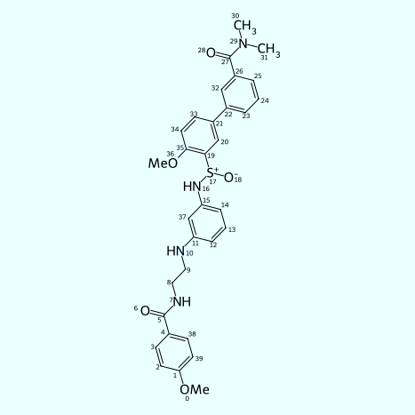 COc1ccc(C(=O)NCCNc2cccc(N[S+]([O-])c3cc(-c4cccc(C(=O)N(C)C)c4)ccc3OC)c2)cc1